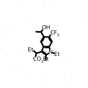 CCOC(=O)C(CC)c1c(C)n(CC)c2cc(C(F)(F)F)c(C(C)O)cc12